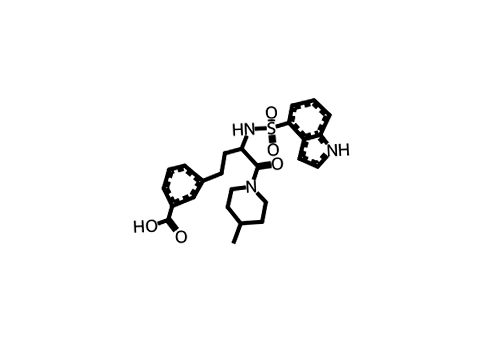 CC1CCN(C(=O)C(CCc2cccc(C(=O)O)c2)NS(=O)(=O)c2cccc3[nH]ccc23)CC1